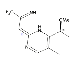 CO[C@@H](C)C1=C(C)C=N/C(=C/C(=N)C(F)(F)F)N1